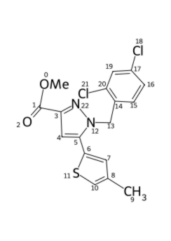 COC(=O)c1cc(-c2cc(C)cs2)n(Cc2ccc(Cl)cc2Cl)n1